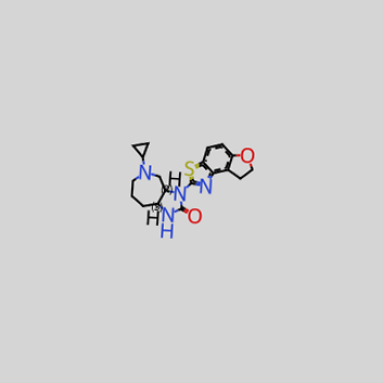 O=C1N[C@H]2CCCN(C3CC3)C[C@H]2N1c1nc2c3c(ccc2s1)OCC3